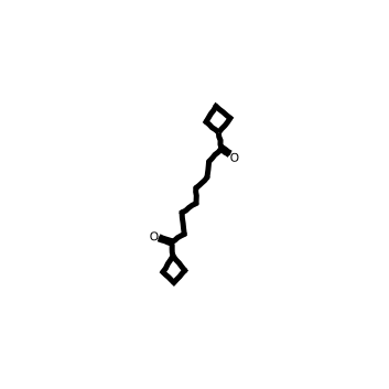 O=C(CCCCCCC(=O)C1CCC1)C1CCC1